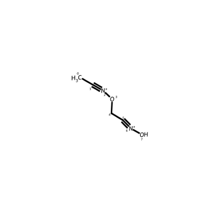 CC#[N+]OCC#[N+]O